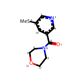 CSc1cncc(C(=O)N2CCOCC2)c1